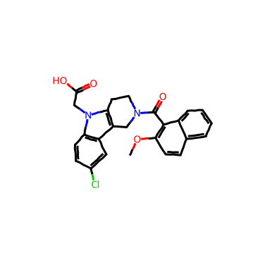 COc1ccc2ccccc2c1C(=O)N1CCc2c(c3cc(Cl)ccc3n2CC(=O)O)C1